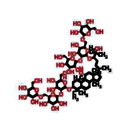 C[C@H](CC[C@@H](O[C@@H]1O[C@H](CO[C@@H]2O[C@H](CO)[C@@H](O)[C@H](O)[C@H]2O)[C@@H](O)[C@H](O)[C@H]1OC1O[C@@H](CO)[C@H](O)[C@@H](O)[C@@H]1O)C(C)(C)O)C1CC[C@@]2(C)C3CC=C4C(CC[C@H](O[C@@H]5O[C@H](CO)[C@@H](O)[C@H](O)[C@H]5O[C@H]5O[C@@H](CO[C@@H]6O[C@H](CO)[C@@H](O)[C@H](O)[C@H]6O)[C@H](O)[C@@H](O)[C@@H]5O)C4(C)C)[C@]3(C)[C@H](O)C[C@]12C